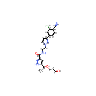 CC(OCCC=O)c1cc(C(=O)NCCn2ccc(-c3ccc(C#N)c(Cl)c3)n2)n[nH]1